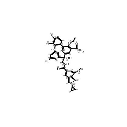 CCOc1c(C(N)=O)cc([C@@](O)(CNC(=O)c2cc(OC)c3nn(C4CC4)cc3c2)c2cccc(F)n2)nc1-c1ccc(F)c(Cl)c1Cl